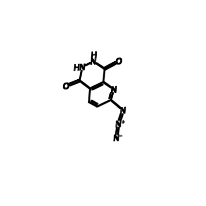 [N-]=[N+]=Nc1ccc2c(=O)[nH][nH]c(=O)c2n1